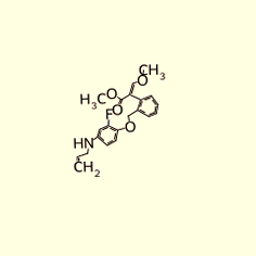 C=CCNc1ccc(OCc2ccccc2/C(=C\OC)C(=O)OC)c(F)c1